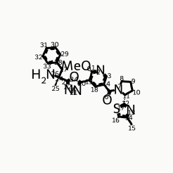 COc1ncc(C(=O)N2CCC[C@@H]2c2nc(C)cs2)cc1-c1nnc([C@](C)(N)Cc2ccccc2)o1